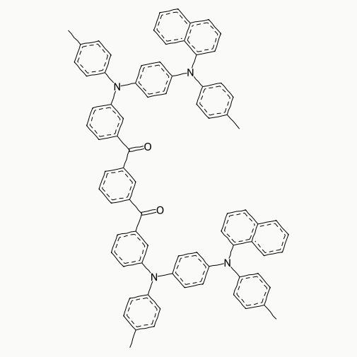 Cc1ccc(N(c2ccc(N(c3ccc(C)cc3)c3cccc4ccccc34)cc2)c2cccc(C(=O)c3cccc(C(=O)c4cccc(N(c5ccc(C)cc5)c5ccc(N(c6ccc(C)cc6)c6cccc7ccccc67)cc5)c4)c3)c2)cc1